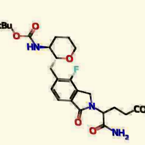 CC(C)(C)OC(=O)N[C@H]1CCCO[C@@H]1Cc1ccc2c(c1F)CN(C(CCC(=O)O)C(N)=O)C2=O